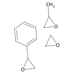 C1CO1.CC1CO1.c1ccc(C2CO2)cc1